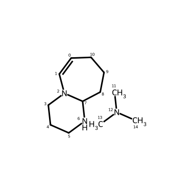 C1=CN2CCCNC2CCC1.CN(C)C